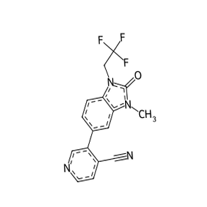 Cn1c(=O)n(CC(F)(F)F)c2ccc(-c3cnccc3C#N)cc21